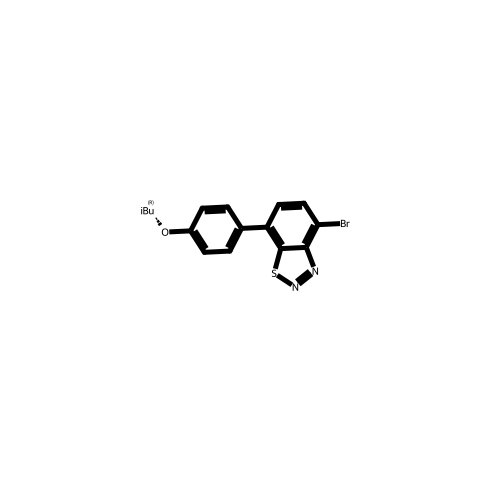 CC[C@@H](C)Oc1ccc(-c2ccc(Br)c3nnsc23)cc1